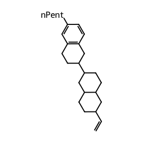 C=CC1CCC2CC(C3CCc4cc(CCCCC)ccc4C3)CCC2C1